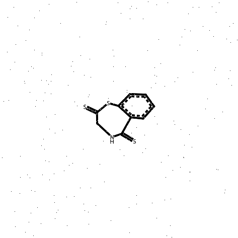 S=C1CNC(=S)c2ccccc2S1